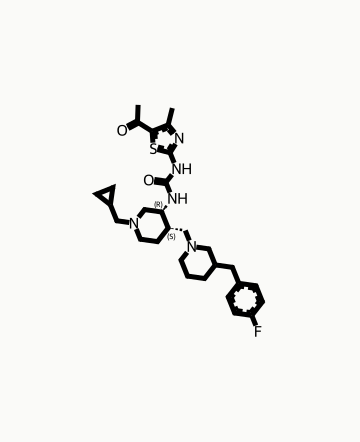 CC(=O)c1sc(NC(=O)N[C@H]2CN(CC3CC3)CC[C@H]2CN2CCCC(Cc3ccc(F)cc3)C2)nc1C